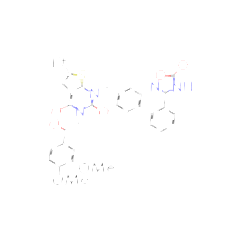 CCc1cc2c(=O)n(CC(=O)c3ccc(OC)c(OC)c3)c(=O)n(Cc3ccc(-c4ccccc4-c4noc(=O)[nH]4)cc3)c2s1